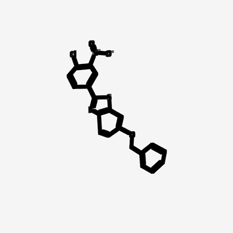 O=[N+]([O-])c1cc(-c2nc3ccc(OCc4ccccc4)cc3s2)ccc1Cl